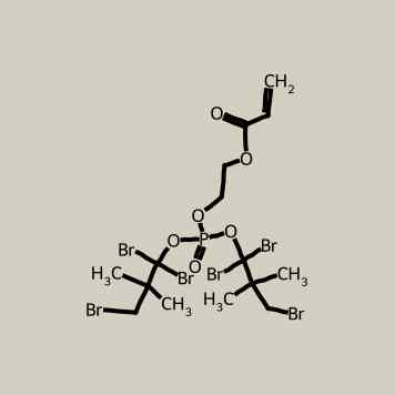 C=CC(=O)OCCOP(=O)(OC(Br)(Br)C(C)(C)CBr)OC(Br)(Br)C(C)(C)CBr